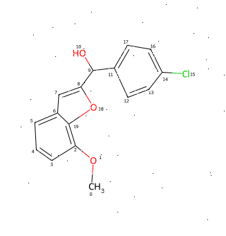 COc1cccc2cc(C(O)c3ccc(Cl)cc3)oc12